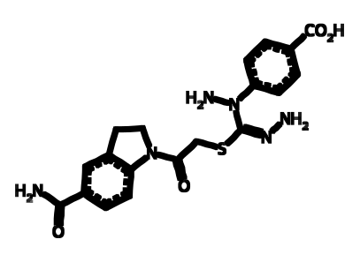 N/N=C(/SCC(=O)N1CCc2cc(C(N)=O)ccc21)N(N)c1ccc(C(=O)O)cc1